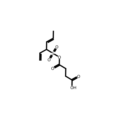 C=CC(C=CC)S(=O)(=O)OC(=O)CCC(=O)O